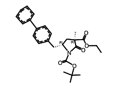 CCOC(=O)[C@]1(C)C[C@@H](Cc2ccc(-c3ccccc3)cc2)N(C(=O)OC(C)(C)C)C1=O